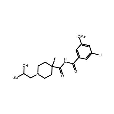 COc1cc(Cl)cc(C(=O)NC(=O)C2(F)CCN(CC(O)C(C)(C)C)CC2)c1